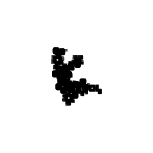 CCN1CCN(C(=O)NC(C(=O)N[C@@H]2C(=O)N3C[C@@](C(=O)OCc4ccc([N+](=O)[O-])cc4)(N4CCN(/N=C/c5ccco5)C4=O)S[C@H]23)c2ccccc2)C(=O)C1=O